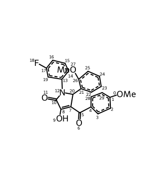 COc1ccc(C(=O)C2=C(O)C(=O)N(c3cccc(F)c3)C2c2ccccc2OC)cc1